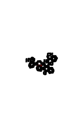 CC[C@H](NC(=O)c1c(CN2CCN(c3cccc4[nH]ccc34)CC2)n(-c2ccccc2)c(=O)c2ccccc12)c1ccccc1